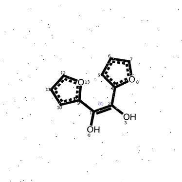 O/C(=C(\O)c1ccco1)c1ccco1